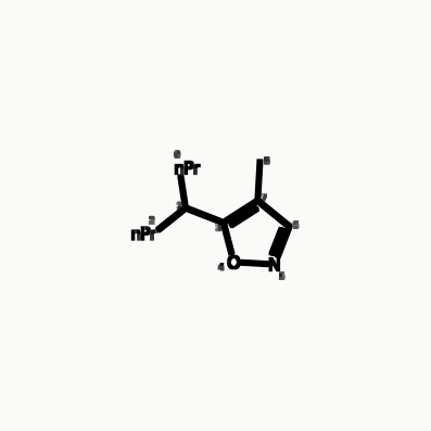 CCCC(CCC)c1oncc1C